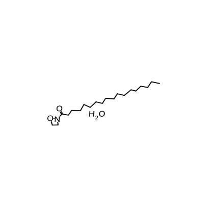 CCCCCCCCCCCCCCCCCC(=O)N1CCO1.O